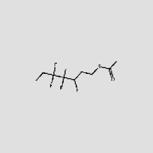 CCC(F)(F)C(F)(F)C(F)CCSC(C)=O